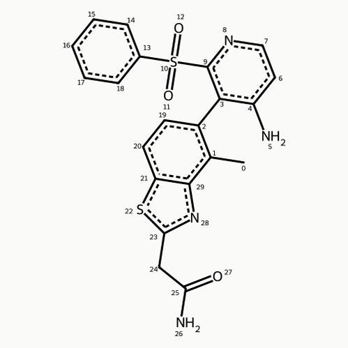 Cc1c(-c2c(N)ccnc2S(=O)(=O)c2ccccc2)ccc2sc(CC(N)=O)nc12